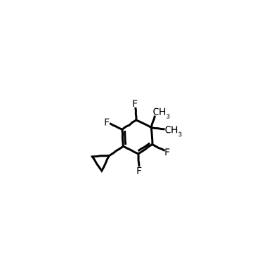 CC1(C)C(F)=C(F)C(C2CC2)=C(F)C1F